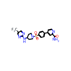 NC(=O)c1cc(-c2ccc(S(=O)(=O)N3CCC(Nc4ncc(C(F)(F)F)cn4)CC3)cc2)ccn1